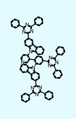 c1ccc(-c2nc(-c3ccccc3)nc(-c3ccc(-c4cnccc4-n4c5ccccc5c5cc(-c6nc(-c7ccccc7)nc(-c7ccccc7)n6)ccc54)c(-n4c5ccccc5c5cc(-c6nc(-c7ccccc7)nc(-c7ccccc7)n6)ccc54)c3)n2)cc1